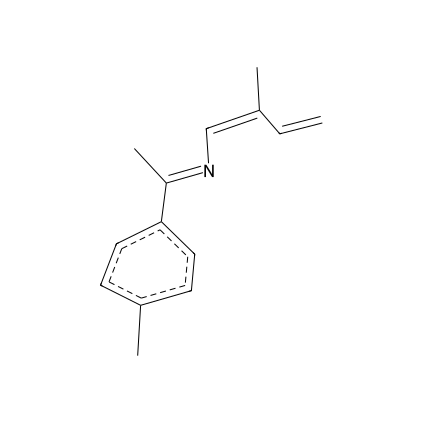 C=C/C(C)=C\N=C(/C)c1ccc(C)cc1